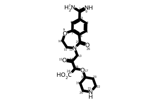 N=C(N)c1ccc2c(c1)OCCN(CC(=O)C(OC1CCNCC1)C(=O)O)C2=O